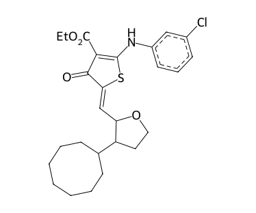 CCOC(=O)C1=C(Nc2cccc(Cl)c2)S/C(=C\C2OCCC2C2CCCCCCC2)C1=O